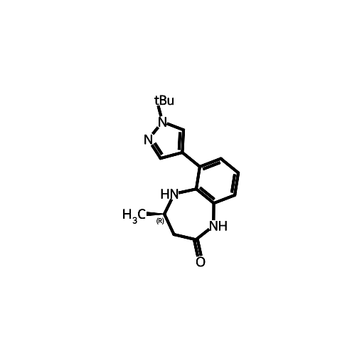 C[C@@H]1CC(=O)Nc2cccc(-c3cnn(C(C)(C)C)c3)c2N1